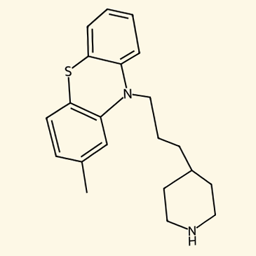 Cc1ccc2c(c1)N(CCCC1CCNCC1)c1ccccc1S2